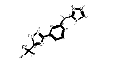 FC(F)(F)c1nc(-c2cc[c]c(Sc3nncs3)c2)no1